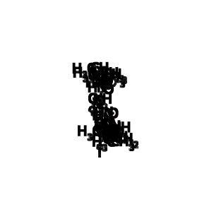 C=CCOC(=O)NCCCCC(NC(=O)CC(NC(=O)CC(NC(=O)CCCc1ccc(I)cc1)C(=O)OC(C)(C)C)C(=O)OC(C)(C)C)C(=O)NCC1CCC(C(=O)NC(Cc2ccc3ccccc3c2)C(=O)NCCCCC(NC(=O)NC(CCC(=O)OC(C)(C)C)C(=O)OC(C)(C)C)C(=O)OC2CCCCCCC2)CC1